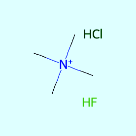 C[N+](C)(C)C.Cl.F